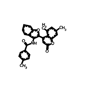 Cc1ccc(C(=O)Nc2c(-c3cc(=O)oc4cc(C)cc(C)c34)oc3ccccc23)cc1